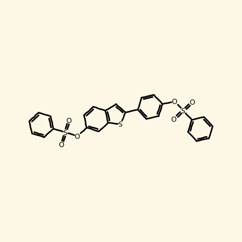 O=S(=O)(Oc1ccc(-c2cc3ccc(OS(=O)(=O)c4ccccc4)cc3s2)cc1)c1ccccc1